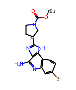 CC(C)(C)OC(=O)N1CC[C@H](c2nc3c(N)nc4cc(Br)ccc4c3[nH]2)C1